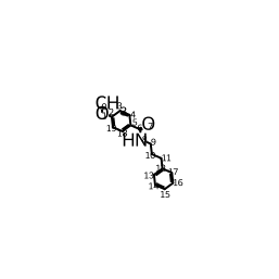 COc1ccc(C(=O)NCCCc2ccccc2)cc1